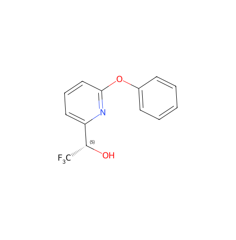 O[C@@H](c1cccc(Oc2ccccc2)n1)C(F)(F)F